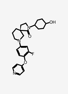 O=C1N(C2CCC(O)CC2)CC[C@@]12CCCN(c1ccc(Oc3ccncc3)c(F)c1)C2